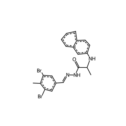 Cc1c(Br)cc(/C=N/NC(=O)C(C)Nc2ccc3ccccc3c2)cc1Br